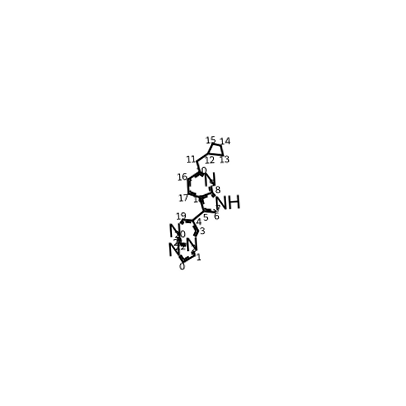 c1cn2cc(-c3c[nH]c4nc(CC5CCC5)ccc34)cnc2n1